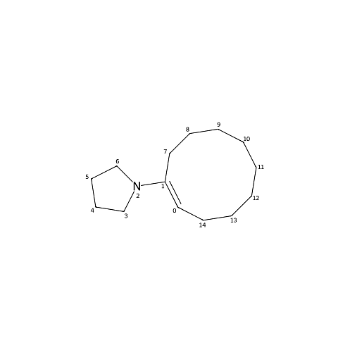 C1=C(N2CCCC2)CCCCCCCC1